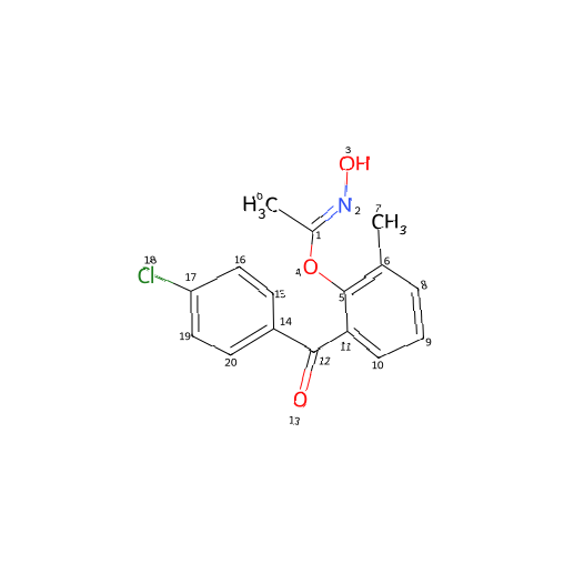 CC(=NO)Oc1c(C)cccc1C(=O)c1ccc(Cl)cc1